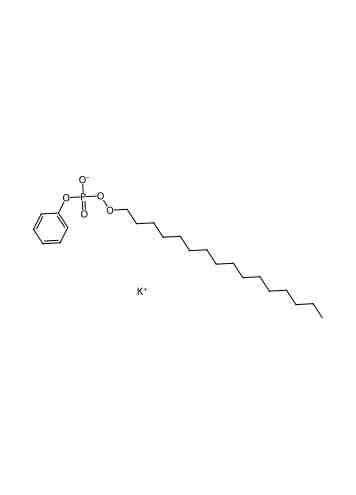 CCCCCCCCCCCCCCCCOOP(=O)([O-])Oc1ccccc1.[K+]